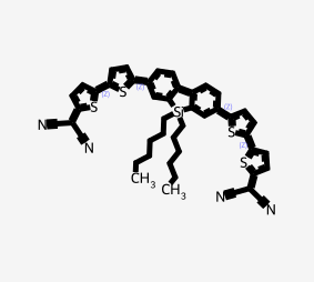 CCCCCC[Si]1(CCCCCC)c2c/c(=c3/cc/c(=c4\ccc(=C(C#N)C#N)s4)s3)ccc2=c2cc/c(=c3\cc/c(=c4\ccc(=C(C#N)C#N)s4)s3)cc21